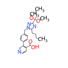 CCCCc1nc(C(CCC)(OC)OC)nn1Cc1ccc(-c2cnccc2C(=O)O)cc1